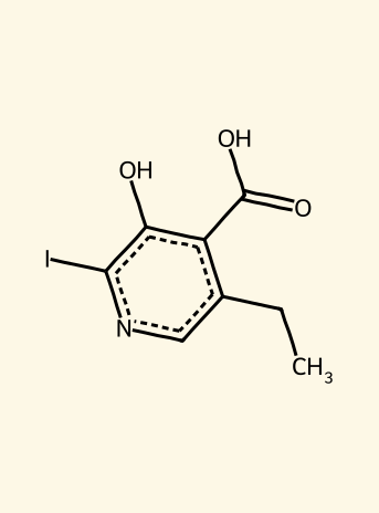 CCc1cnc(I)c(O)c1C(=O)O